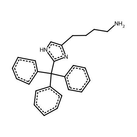 NCCCCc1c[nH]c(C(c2ccccc2)(c2ccccc2)c2ccccc2)n1